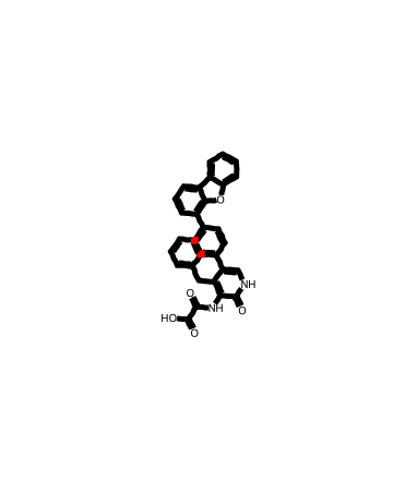 O=C(O)C(=O)Nc1c(Cc2ccccc2)c(-c2ccc(-c3cccc4c3oc3ccccc34)cc2)c[nH]c1=O